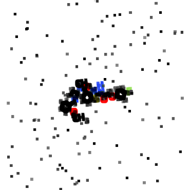 CCOc1ccccc1CN1CCC(N(C)C(=O)C2CCCc3sc(NC(=O)COc4ccc(F)cc4)nc32)C1